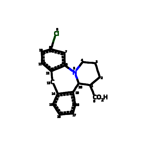 O=C(O)C1CCCN2c3cc(Cl)ccc3Cc3ccccc3C12